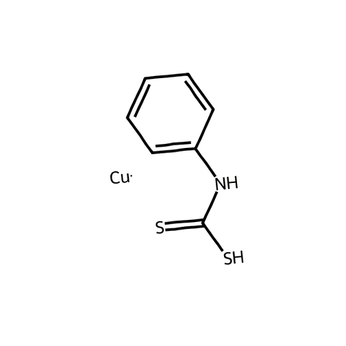 S=C(S)Nc1ccccc1.[Cu]